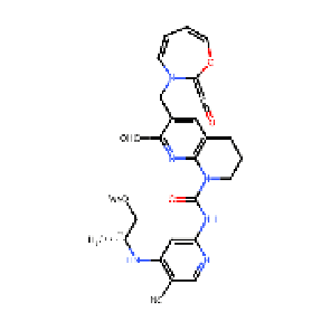 COC[C@@H](C)Nc1cc(NC(=O)N2CCCc3cc(CN4C=CC=COC4=C=O)c(C=O)nc32)ncc1C#N